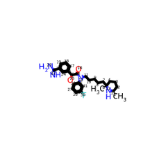 C[C@H]1CCC[C@@](C)(CCCCCN2C(=O)C(c3cccc(C(=N)N)c3)Oc3ccc(F)cc32)N1